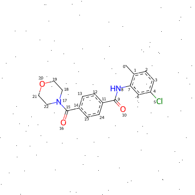 Cc1ccc(Cl)cc1NC(=O)c1ccc(C(=O)N2CCOCC2)cc1